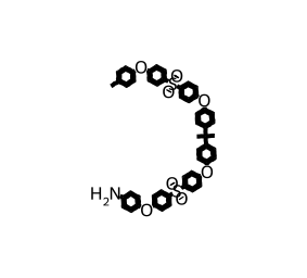 Cc1ccc(Oc2ccc(S(=O)(=O)c3ccc(Oc4ccc(C(C)(C)c5ccc(Oc6ccc(S(=O)(=O)c7ccc(Oc8ccc(N)cc8)cc7)cc6)cc5)cc4)cc3)cc2)cc1